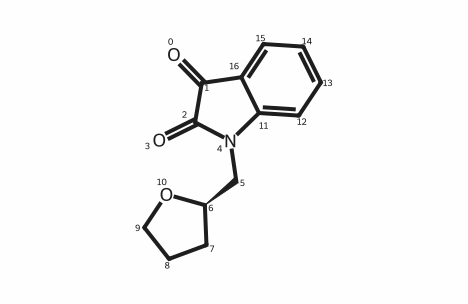 O=C1C(=O)N(C[C@H]2CCCO2)c2ccccc21